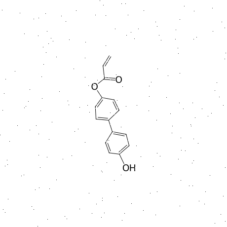 C=CC(=O)Oc1ccc(-c2ccc(O)cc2)cc1